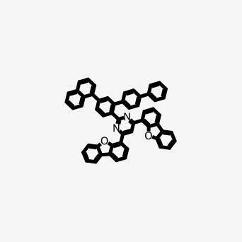 c1ccc(-c2ccc(-c3cc(-c4cccc5ccccc45)ccc3-c3nc(-c4cccc5c4oc4ccccc45)cc(-c4cccc5c4oc4ccccc45)n3)cc2)cc1